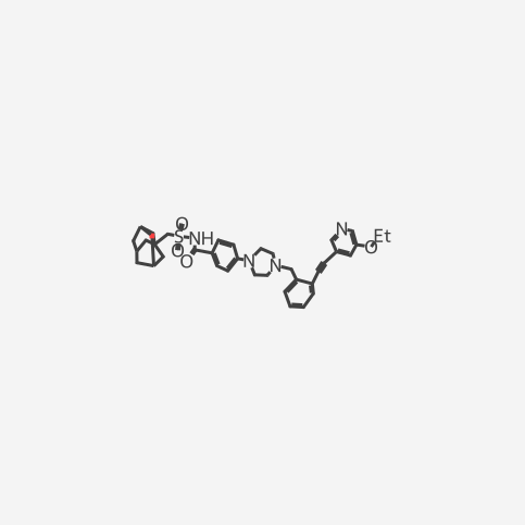 CCOc1cncc(C#Cc2ccccc2CN2CCN(c3ccc(C(=O)NS(=O)(=O)CC45CC6CC(CC(C6)C4)C5)cc3)CC2)c1